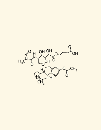 CC(=O)Oc1ccc2c(c1)CC[C@@H]1[C@@H]2CC[C@]2(C)CCC[C@@H]12.CN(N=O)C(=O)N[C@@H](C=O)[C@@H](O)[C@H](O)[C@H](O)C(=O)OCCCC(=O)O